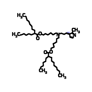 CCCCCCCCC(CCCCCC)C(=O)OCCCCCCN(CC/C=C1\C=CN=C1C)CCCCCCOC(=O)C(CCCCCC)CCCCCCCC